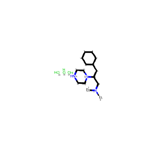 CCN(CC)CC(CC1CCCCC1)N1CCNCC1.Cl.Cl.Cl